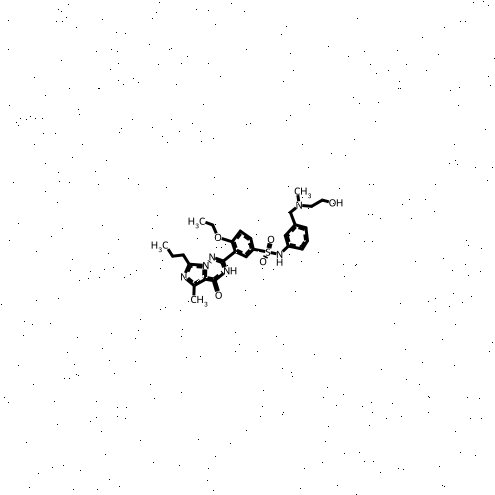 CCCc1nc(C)c2c(=O)[nH]c(-c3cc(S(=O)(=O)Nc4cccc(CN(C)CCO)c4)ccc3OCC)nn12